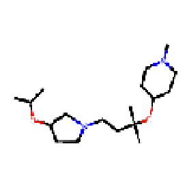 CC(C)OC1CCN(CCC(C)(C)OC2CCN(C)CC2)C1